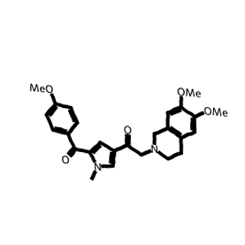 COc1ccc(C(=O)c2cc(C(=O)CN3CCc4cc(OC)c(OC)cc4C3)cn2C)cc1